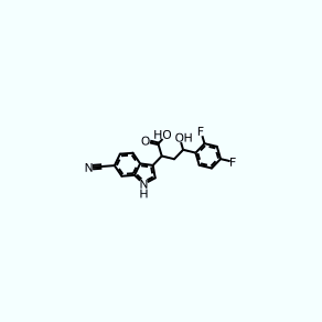 N#Cc1ccc2c(C(CC(O)c3ccc(F)cc3F)C(=O)O)c[nH]c2c1